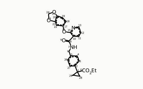 CCOC(=O)C1(c2ccc(CNC(=O)c3cccnc3Oc3ccc4c(c3)OCO4)cc2)CC1